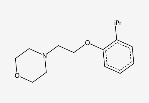 CC(C)c1ccccc1OCCN1CCOCC1